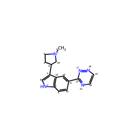 CN1CCC(c2c[nH]c3ccc(-c4nccnn4)cc23)C1